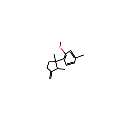 C=C1CCC(C)(c2ccc(C)cc2OC)C1C